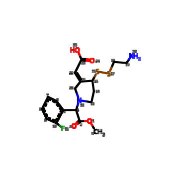 COC(=O)C(c1ccccc1F)N1CCC(SSCCN)/C(=C\C(=O)O)C1